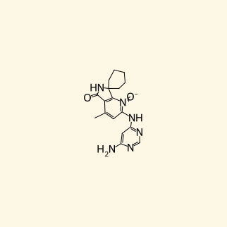 Cc1cc(Nc2cc(N)ncn2)[n+]([O-])c2c1C(=O)NC21CCCCC1